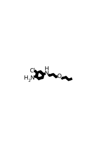 CCCCOCCCNc1ccc(N)c(Cl)c1